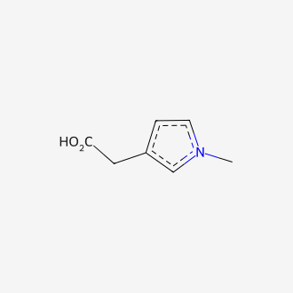 Cn1ccc(CC(=O)O)c1